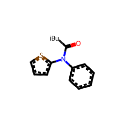 CCC(C)C(=O)N(c1ccccc1)c1cccs1